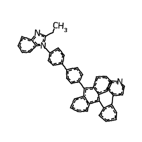 CCc1nc2ccccc2n1-c1ccc(-c2ccc(-c3c4ccccc4c(-c4ccccc4-c4ccncc4)c4ccccc34)cc2)cc1